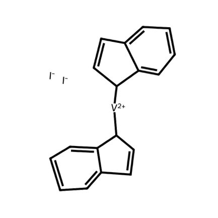 C1=C[CH]([V+2][CH]2C=Cc3ccccc32)c2ccccc21.[I-].[I-]